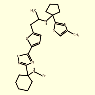 Cc1csc(C2(NC(C)Cc3ccc(-c4nc(C5(NC(C)C)CCCCC5)no4)s3)CCCC2)n1